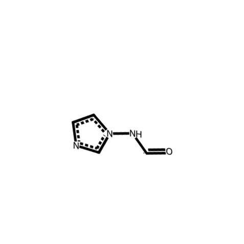 O=[C]Nn1ccnc1